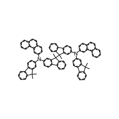 CC1(C)c2ccccc2-c2ccc(N(c3ccc4c(c3)C(C)(C3(C)c5ccccc5-c5ccc(N(c6ccc7c(c6)C(C)(C)c6ccccc6-7)c6ccc7ccc8ccccc8c7c6)cc53)c3ccccc3-4)c3ccc4ccc5ccccc5c4c3)cc21